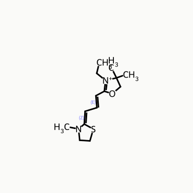 CC[N+]1=C(/C=C/C=C2\SCCN2C)OCC1(C)C